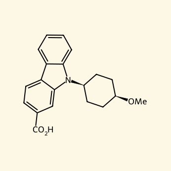 CO[C@H]1CC[C@@H](n2c3ccccc3c3ccc(C(=O)O)cc32)CC1